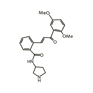 COc1ccc(OC)c(C(=O)C=Cc2ccccc2C(=O)NC2CCNC2)c1